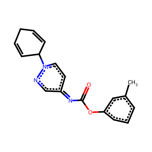 Cc1cccc(OC(=O)N=c2ccn(C3C=CCC=C3)nc2)c1